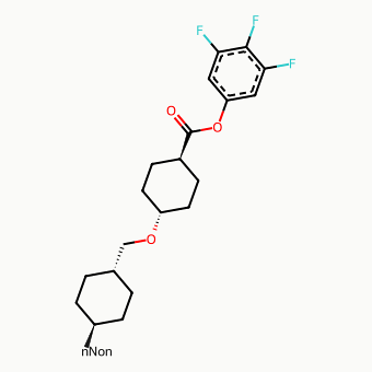 CCCCCCCCC[C@H]1CC[C@H](CO[C@H]2CC[C@H](C(=O)Oc3cc(F)c(F)c(F)c3)CC2)CC1